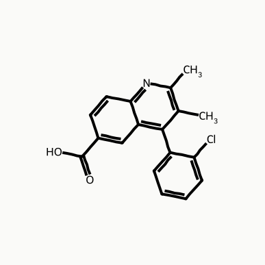 Cc1nc2ccc(C(=O)O)cc2c(-c2ccccc2Cl)c1C